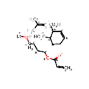 C=C(C)C.C=CC(=O)OCCC[SiH2]OCC.O=C(O)C1C=CCCC1C(=O)O